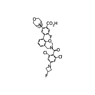 O=C(O)c1cc(F)c(-c2cccc3c2OCN(C(=O)c2c(Cl)cc(N4CC(F)C4)cc2Cl)C3)cc1N1C2CCC1COC2